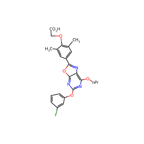 CCCOc1nc(Oc2cccc(F)c2)nc2oc(-c3cc(C)c(OCC(=O)O)c(C)c3)nc12